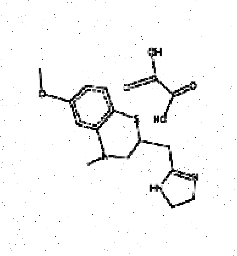 COc1ccc2c(c1)N(C)CC(CC1=NCCN1)S2.O=C(O)C(=O)O